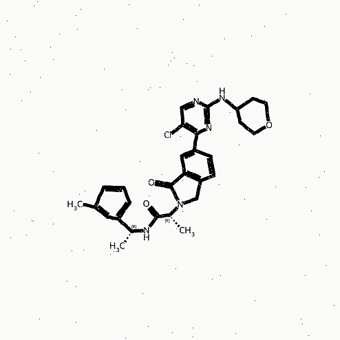 Cc1cccc([C@@H](C)NC(=O)[C@@H](C)N2Cc3ccc(-c4nc(NC5CCOCC5)ncc4Cl)cc3C2=O)c1